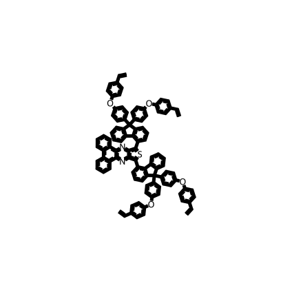 C=Cc1ccc(Oc2ccc(C3(c4ccc(Oc5ccc(C=C)cc5)cc4)c4ccccc4-c4c(-c5sc(-c6cccc7c6-c6ccccc6C7(c6ccc(Oc7ccc(C=C)cc7)cc6)c6ccc(Oc7ccc(C=C)cc7)cc6)c6nc7c8ccccc8c8ccccc8c7nc56)cccc43)cc2)cc1